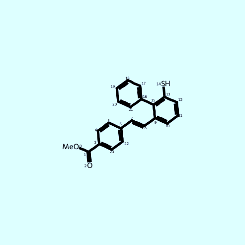 COC(=O)c1ccc(/C=C/c2cccc(S)c2-c2ccccc2)cc1